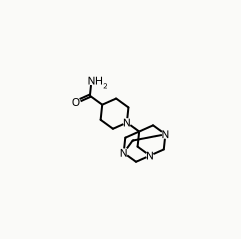 NC(=O)C1CCN(C23CN4CN(CN(C4)C2)C3)CC1